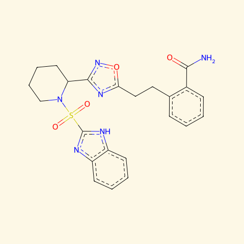 NC(=O)c1ccccc1CCc1nc(C2CCCCN2S(=O)(=O)c2nc3ccccc3[nH]2)no1